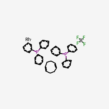 C1=C\CC/C=C\CC/1.F[B-](F)(F)F.[Rh].c1ccc(P(c2ccccc2)c2ccccc2)cc1.c1ccc(P(c2ccccc2)c2ccccc2)cc1